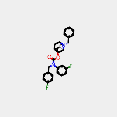 O=C(OC1C[N+]2(Cc3ccccc3)CCC1CC2)N(Cc1ccc(F)cc1)c1cccc(F)c1